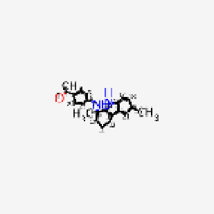 CC(=O)c1ccc(NC2(C)CCCc3c2[nH]c2ccc(C)cc32)cc1